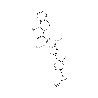 CCc1cc(C(=O)N2CCc3ccccc3[C@H]2C)c(OC)c2cc(-c3ccc(C4C[C@H]4C(=O)O)cc3F)nn12